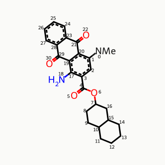 CNc1cc(C(=O)OC2CCC3CCCCC3C2)c(N)c2c1C(=O)c1ccccc1C2=O